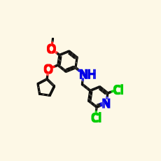 COc1ccc(NCc2cc(Cl)nc(Cl)c2)cc1OC1CCCC1